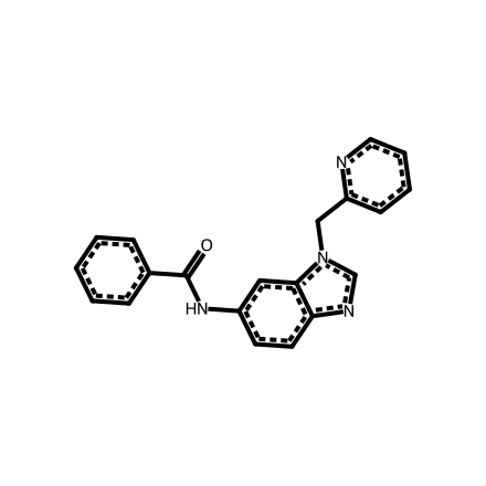 O=C(Nc1ccc2ncn(Cc3ccccn3)c2c1)c1ccccc1